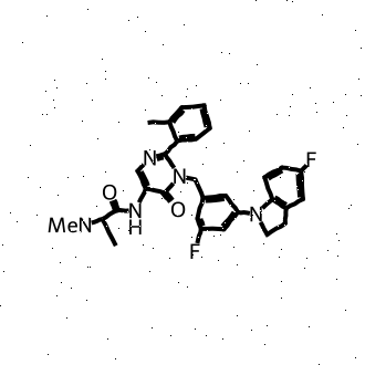 CNC(C)C(=O)Nc1cnc(-c2ccccc2C)n(Cc2cc(F)cc(N3CCc4cc(F)ccc43)c2)c1=O